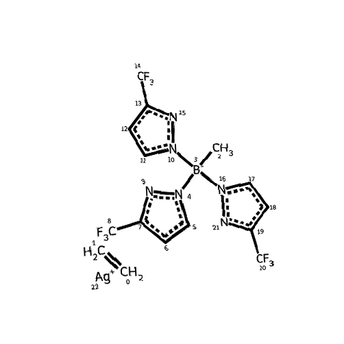 C=C.C[B-](n1ccc(C(F)(F)F)n1)(n1ccc(C(F)(F)F)n1)n1ccc(C(F)(F)F)n1.[Ag+]